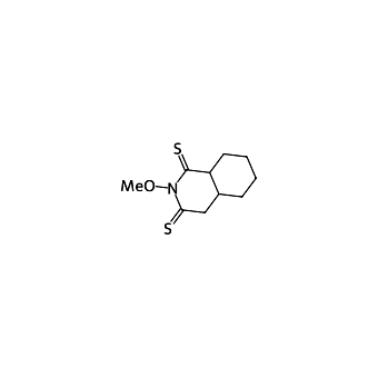 CON1C(=S)CC2CCCCC2C1=S